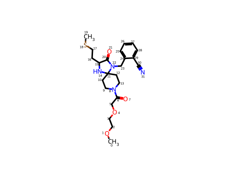 COCCOCC(=O)N1CCC2(CC1)NC(CCSC)C(=O)N2Cc1ccccc1C#N